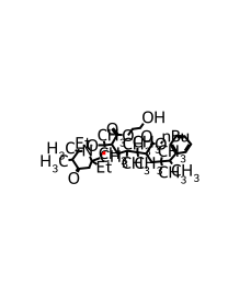 CCCCOC(=O)C(CC(C)(C)C(C)c1ccccc1)C(C)(C)C(C)(C)CC(C(=O)OCCO)C(C)(C)ON1C(C)(CC)CC(=O)C(C)C1(C)CC